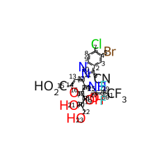 N#Cc1c2cc(Br)c(Cl)cc2nn1[C@H]1C=C(C(=O)O)O[C@@H]([C@H](O)[C@H](O)CO)[C@@H]1NC(=O)C(F)(F)C(F)(F)F